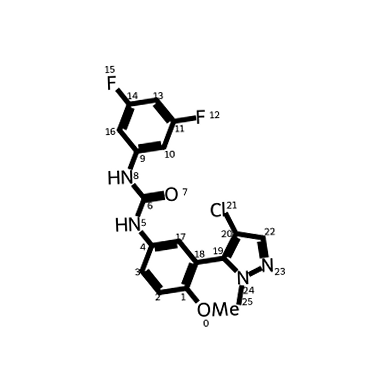 COc1ccc(NC(=O)Nc2cc(F)cc(F)c2)cc1-c1c(Cl)cnn1C